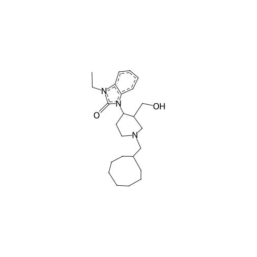 CCn1c(=O)n(C2CCN(CC3CCCCCCC3)CC2CO)c2ccccc21